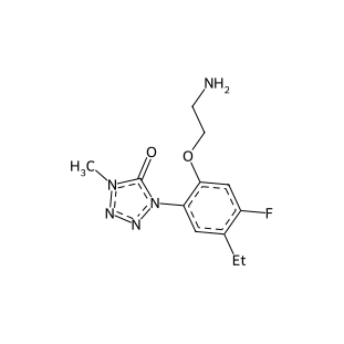 CCc1cc(-n2nnn(C)c2=O)c(OCCN)cc1F